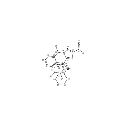 CCC(C)/C=C\c1c(C)cccc1C(C)n1nc(C(C)=S)cc1C(=O)NC1CCCCC1